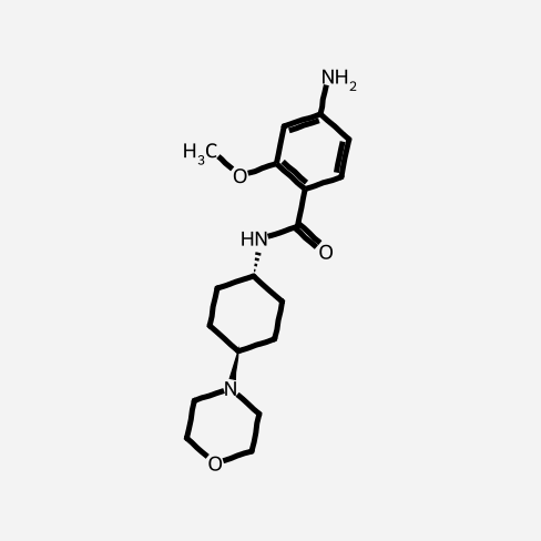 COc1cc(N)ccc1C(=O)N[C@H]1CC[C@H](N2CCOCC2)CC1